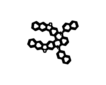 c1cc2c3c(c1)N(c1ccc4ccccc4c1)c1cc4oc5cc6ccccc6cc5c4cc1B3c1cc3c(cc1N2c1ccc2ccccc2c1)oc1cc2ccccc2cc13